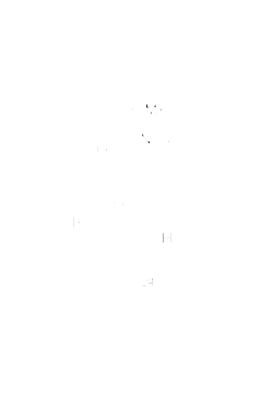 CON(C)C(=O)COC(C)c1c(Br)cccc1Br